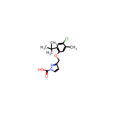 Cc1cc(OCc2ccn(C(=O)O)n2)c(C(C)(C)C)cc1Cl